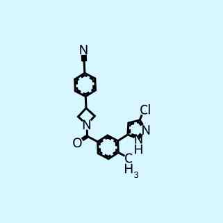 Cc1ccc(C(=O)N2CC(c3ccc(C#N)cc3)C2)cc1-c1cc(Cl)n[nH]1